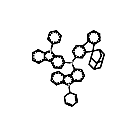 C1=CCC(n2c3ccccc3c3c(N(c4ccc5c(c4)C4(c6ccccc6-5)C5CC6CC(C5)CC4C6)c4ccc5c6ccccc6n(-c6ccccc6)c5c4)cccc32)C=C1